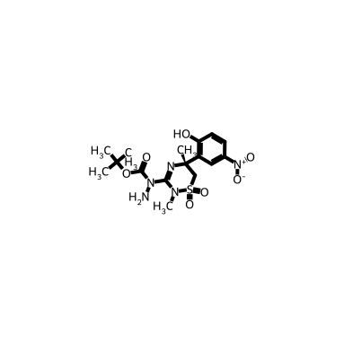 CN1C(N(N)C(=O)OC(C)(C)C)=N[C@](C)(c2cc([N+](=O)[O-])ccc2O)CS1(=O)=O